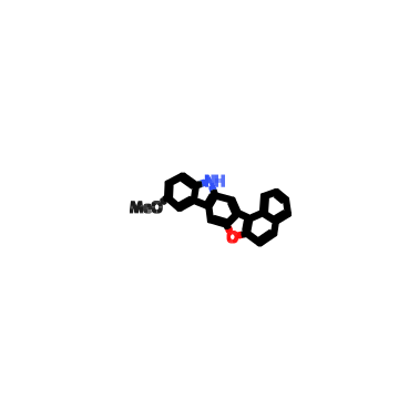 COc1ccc2[nH]c3cc4c(cc3c2c1)oc1ccc2ccccc2c14